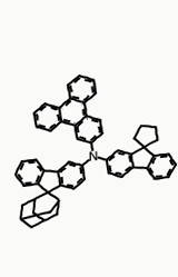 c1ccc2c(c1)-c1ccc(N(c3ccc4c(c3)-c3ccccc3C43C4CC5CC(C4)CC3C5)c3ccc4c5ccccc5c5ccccc5c4c3)cc1C21CCCC1